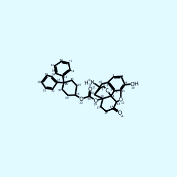 NC1CCC23c4c5ccc(O)c4OC2C(=O)CCC3(OC(=O)OC2CCC(c3ccccc3)(c3ccccc3)CC2)C1C5